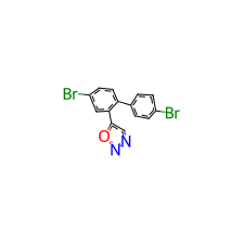 Brc1ccc(-c2ccc(Br)cc2-c2cnno2)cc1